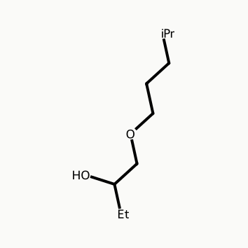 CCC(O)COCCCC(C)C